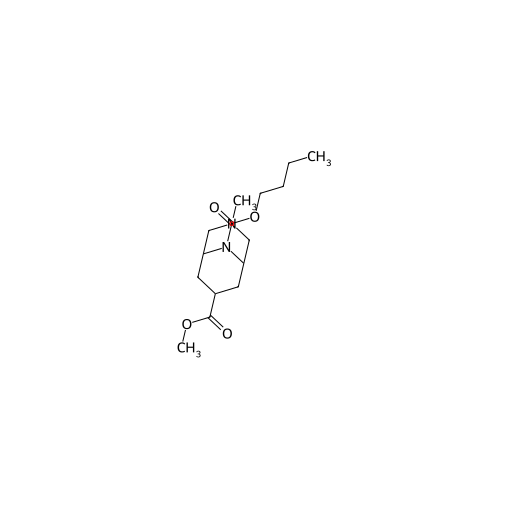 CCCCOC(=O)N1C2CC(C(=O)OC)CC1CN(C)C2